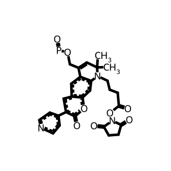 CC1(C)C=C(COP=O)c2cc3cc(-c4ccncc4)c(=O)oc3cc2N1CCCC(=O)ON1C(=O)CCC1=O